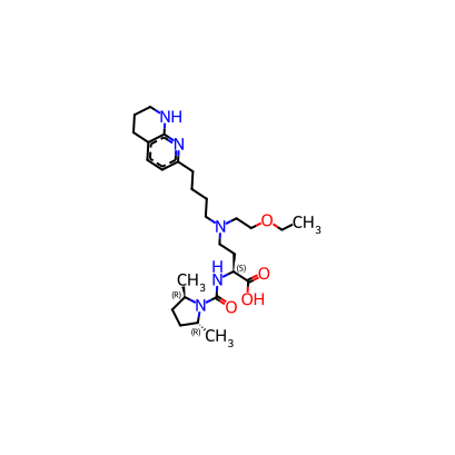 CCOCCN(CCCCc1ccc2c(n1)NCCC2)CC[C@H](NC(=O)N1[C@H](C)CC[C@H]1C)C(=O)O